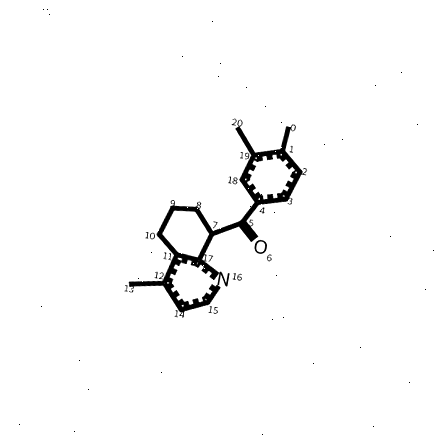 Cc1ccc(C(=O)C2CCCc3c(C)ccnc32)cc1C